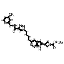 CC(C)(C)OC(=O)N1CC(c2cc3cc(CCCCn4cc(C(=O)NCc5cc(C(F)(F)F)ccn5)nn4)nnc3[nH]2)C1